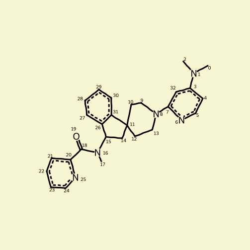 CN(C)c1ccnc(N2CCC3(CC2)CC(N(C)C(=O)c2ccccn2)c2ccccc23)c1